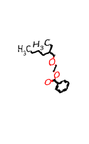 CCCCC(CC)COCCOC(=O)c1ccccc1